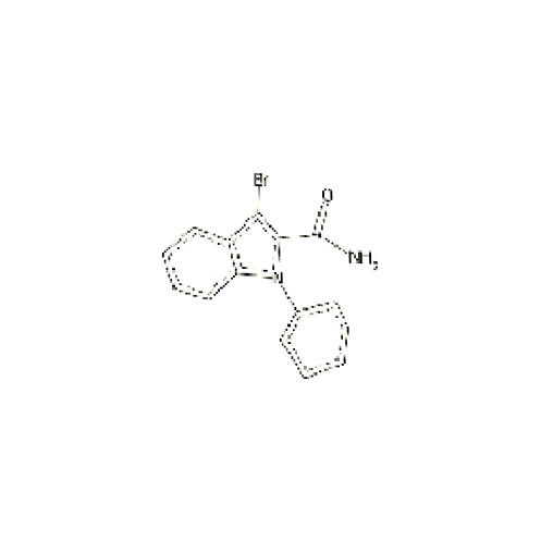 NC(=O)c1c(Br)c2ccccc2n1-c1ccccc1